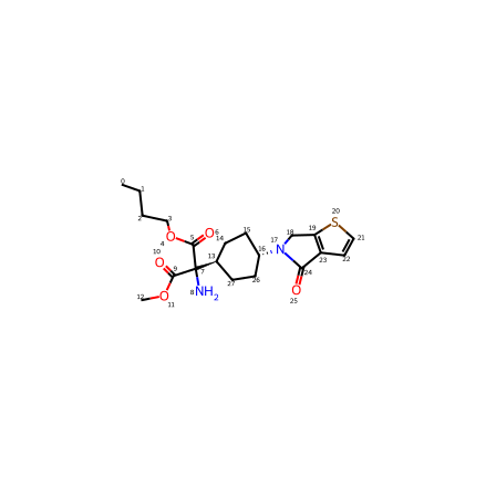 CCCCOC(=O)C(N)(C(=O)OC)[C@H]1CC[C@H](N2Cc3sccc3C2=O)CC1